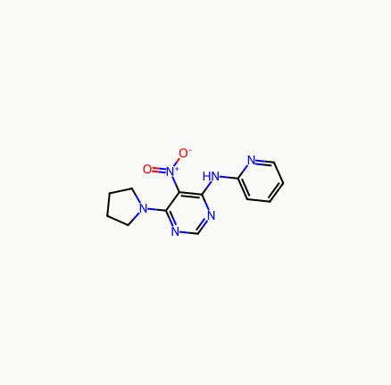 O=[N+]([O-])c1c(Nc2ccccn2)ncnc1N1CCCC1